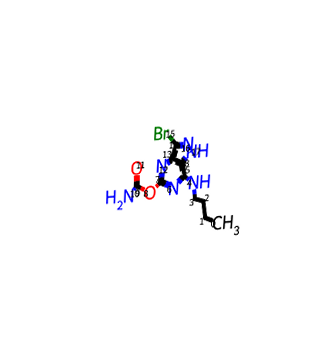 CCCCNc1nc(OC(N)=O)nc2c(Br)n[nH]c12